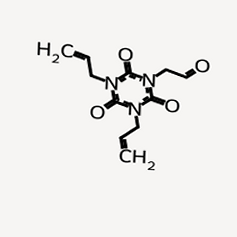 C=CCn1c(=O)n(CC=C)c(=O)n(CC=O)c1=O